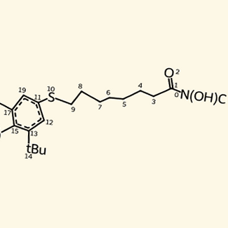 CN(O)C(=O)CCCCCCCSc1cc(C(C)(C)C)c(O)c(C(C)(C)C)c1